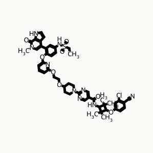 CCS(=O)(=O)Nc1ccc(Oc2cccc(OCCOC3CCN(c4ncc(C(=O)NC5C(C)(C)C(Oc6ccc(C#N)c(Cl)c6)C5(C)C)cn4)CC3)n2)c(-c2cn(C)c(=O)c3[nH]ccc23)c1